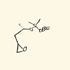 C[C@@H](CC1CO1)O[Si](C)(C)C(C)(C)C